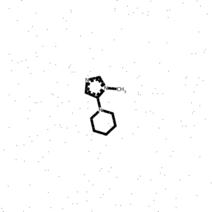 Cn1cncc1N1CCCCC1